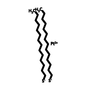 CCCCCCCCCCCCCC[S-].CCCCCCCCCCCCCC[S-].[Pt+2]